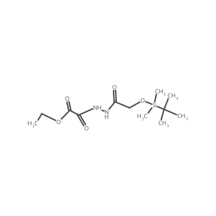 CCOC(=O)C(=O)NNC(=O)CO[Si](C)(C)C(C)(C)C